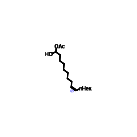 CCCCCC/C=C\CCCCCCCC(O)OC(C)=O